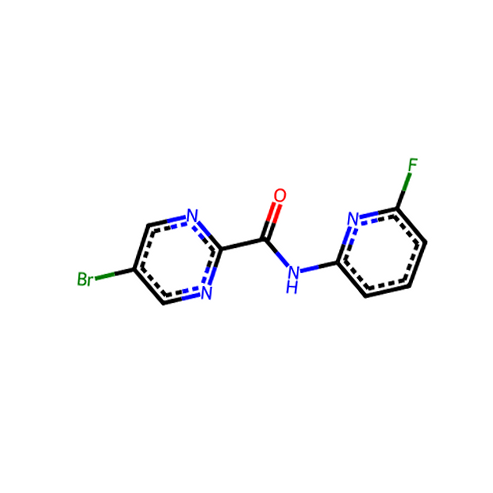 O=C(Nc1cccc(F)n1)c1ncc(Br)cn1